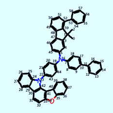 CC1(C)c2cc(N(c3ccc(-c4ccccc4)cc3)c3ccc(-n4c5ccccc5c5ccc6oc7ccccc7c6c54)cc3)ccc2-c2cccc(-c3ccccc3)c21